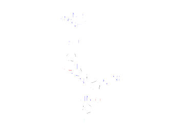 N=C(N)NCCCNCc1ccc(-n2cc3cc(-c4cc(C(=O)Nc5ccc(F)cc5)cc(N5CCNCC5)c4)[nH]c3nc2=O)cc1